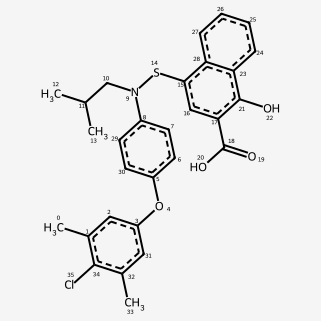 Cc1cc(Oc2ccc(N(CC(C)C)Sc3cc(C(=O)O)c(O)c4ccccc34)cc2)cc(C)c1Cl